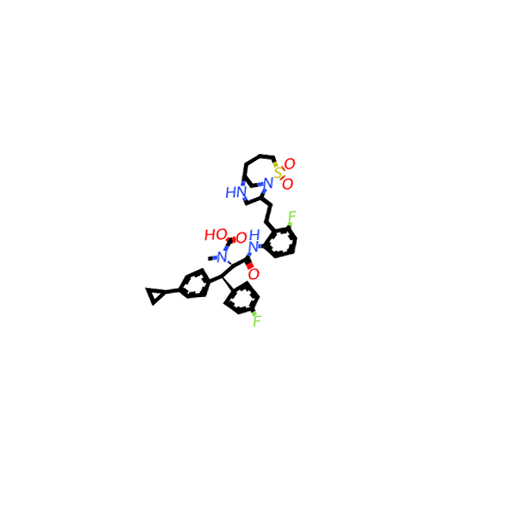 CN(C(=O)O)[C@H](C(=O)Nc1cccc(F)c1CCC1CNC2CCCS(=O)(=O)N1C2)[C@@H](c1ccc(F)cc1)c1ccc(C2CC2)cc1